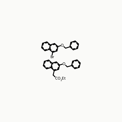 Brc1cc(OCc2ccccc2)cc2ccccc12.CCOC(=O)Cc1cc(OCc2ccccc2)cc2ccccc12